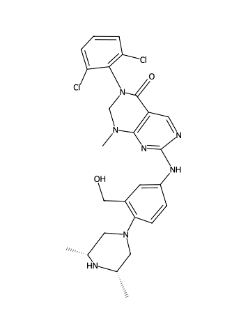 C[C@@H]1CN(c2ccc(Nc3ncc4c(n3)N(C)CN(c3c(Cl)cccc3Cl)C4=O)cc2CO)C[C@H](C)N1